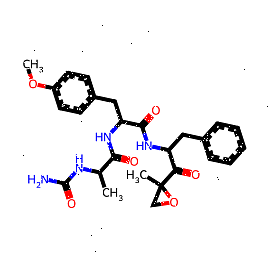 COc1ccc(CC(NC(=O)C(C)NC(N)=O)C(=O)NC(Cc2ccccc2)C(=O)C2(C)CO2)cc1